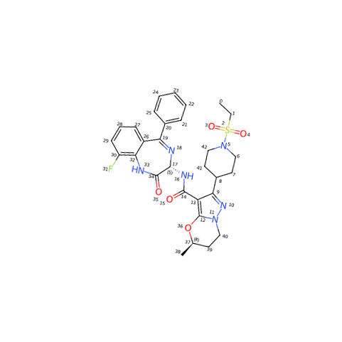 CCS(=O)(=O)N1CCC(c2nn3c(c2C(=O)N[C@H]2N=C(c4ccccc4)c4cccc(F)c4NC2=O)O[C@H](C)CC3)CC1